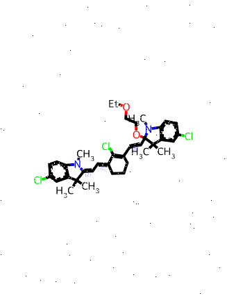 CCOCCOC1(/C=C/C2=C(Cl)C(=C/C=C3\N(C)c4ccc(Cl)cc4C3(C)C)/CCC2)N(C)c2ccc(Cl)cc2C1(C)C